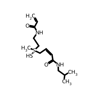 C=CC(=O)NCCS(C)(S)C/C=C\C(=O)NCC(C)C